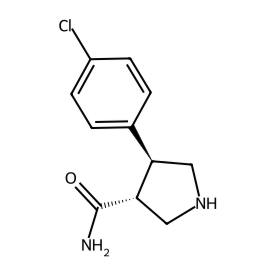 NC(=O)[C@H]1CNC[C@@H]1c1ccc(Cl)cc1